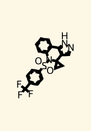 O=S(=O)(c1ccc(C(F)(F)F)cc1)N1c2ccccc2-c2[nH]ncc2C12CC2